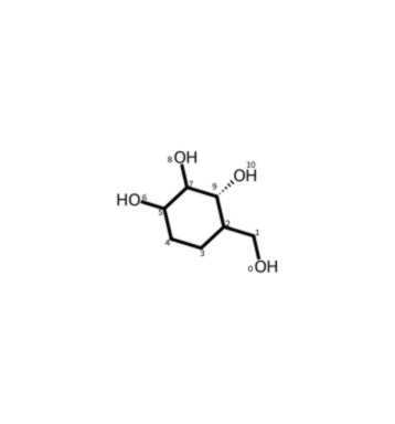 OCC1CCC(O)C(O)[C@@H]1O